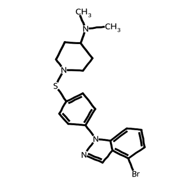 CN(C)C1CCN(Sc2ccc(-n3ncc4c(Br)cccc43)cc2)CC1